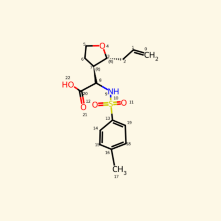 C=CC[C@H]1OCC[C@@H]1C(NS(=O)(=O)c1ccc(C)cc1)C(=O)O